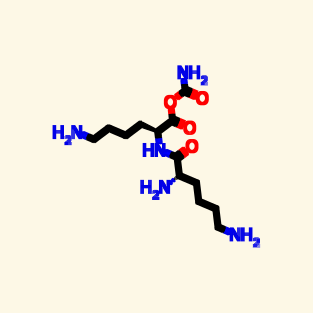 NCCCC[C@H](NC(=O)[C@@H](N)CCCCN)C(=O)OC(N)=O